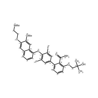 CNCCOc1cc2nccc(Oc3c(F)cc(-c4nccc(OCC(C)(C)O)c4C(N)=O)cc3F)c2cc1OC